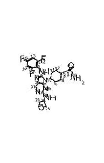 NC(=O)[C@H]1CC[C@@H](n2c(Nc3c(F)cc(F)cc3F)nc3cnc(NC4COC4)nc32)CC1